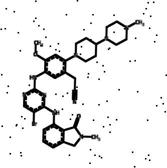 COc1cc(N2CCC(N3CCN(C)CC3)CC2)c(CC#N)cc1Nc1ncc(Br)c(Nc2cccc3c2C(=O)N(C)C3)n1